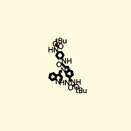 CC(C)(C)OC(=O)NC(=N)c1ccc2cc(C(=O)N[C@H]3CC[C@H](NC(=O)OC(C)(C)C)CC3)n(Cc3ccnc4ccccc34)c2c1